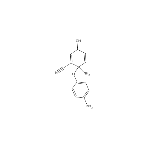 N#CC1=CC(O)C=CC1(N)Oc1ccc(N)cc1